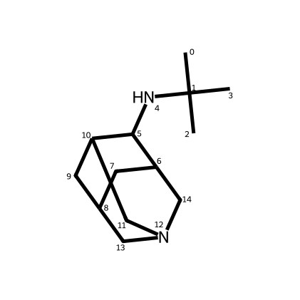 CC(C)(C)NC1C2CC3CC1CN(C3)C2